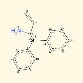 C=CC(N)[Si](c1ccccc1)c1ccccc1